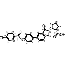 O=C(Nc1ccc(-c2ccc3c(c2)C(=O)N([C@@H]2CCC[C@@H]2C(=O)O)C3)cc1)c1ccc(Cl)cc1